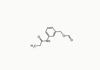 CCC(=O)Nc1cccc(CO[C]=O)c1